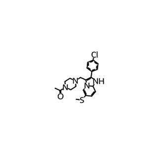 CSC1=CN2C(CN3CCN(C(C)=O)CC3)=C(c3ccc(Cl)cc3)NC2C=C1